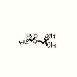 O=C(CC(S)S)OCCC(CO)(CO)CO